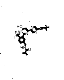 CC(C)C(=O)NCc1ccc(C(F)(F)F)c(C2=NC(c3cnc(C#CC(C)(C)I)cn3)=CC(O)N2)c1